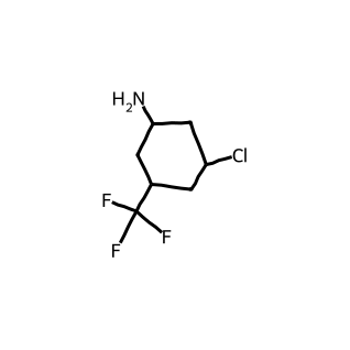 NC1CC(Cl)CC(C(F)(F)F)C1